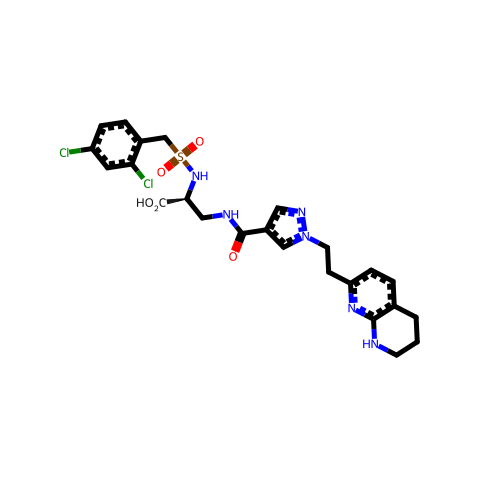 O=C(NC[C@H](NS(=O)(=O)Cc1ccc(Cl)cc1Cl)C(=O)O)c1cnn(CCc2ccc3c(n2)NCCC3)c1